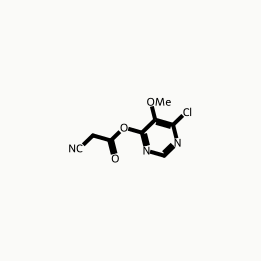 COc1c(Cl)ncnc1OC(=O)CC#N